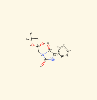 CC(C)(C)OC(=O)CN1C(=O)NC(c2ccccc2)C1=O